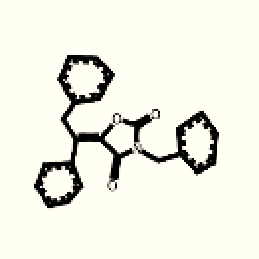 O=C1OC(=C(Cc2ccccc2)c2ccccc2)C(=O)N1Cc1ccccc1